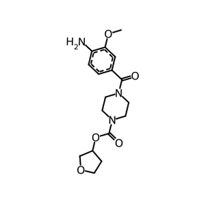 COc1cc(C(=O)N2CCN(C(=O)OC3CCOC3)CC2)ccc1N